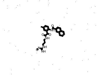 Cc1ccc(NC(=O)c2ccc3ccccc3c2)c(C(=O)C(=O)NCCCNC(=N)N=O)c1